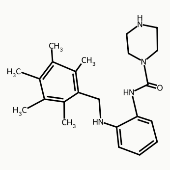 Cc1c(C)c(C)c(CNc2ccccc2NC(=O)N2CCNCC2)c(C)c1C